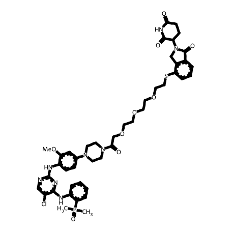 COc1cc(N2CCN(C(=O)COCCOCCOCCSc3cccc4c3CN(C3CCC(=O)NC3=O)C4=O)CC2)ccc1Nc1ncc(Cl)c(Nc2ccccc2P(C)(C)=O)n1